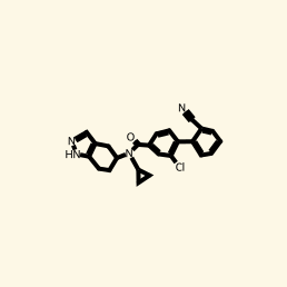 N#Cc1ccccc1-c1ccc(C(=O)N(C2CC2)C2CCc3[nH]ncc3C2)cc1Cl